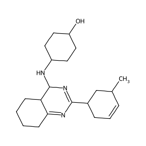 CC1C=CCC(C2=NC(NC3CCC(O)CC3)C3CCCCC3=N2)C1